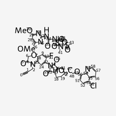 C#CCN1C(=O)COc2cc(F)c(N3C(=O)C4=C(CCCC4)C3=O)cc21.COc1cc(OC)nc(NC(=O)NS(=O)(=O)N(C)S(C)(=O)=O)n1.O=C(O)COc1ccc(Cl)c2cccnc12